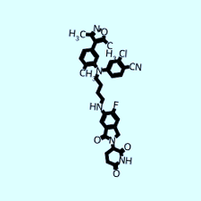 Cc1ccc(-c2c(C)noc2C)cc1N(CCCCNc1cc2c(cc1F)CN(C1CCC(=O)NC1=O)C2=O)c1ccc(C#N)c(Cl)c1